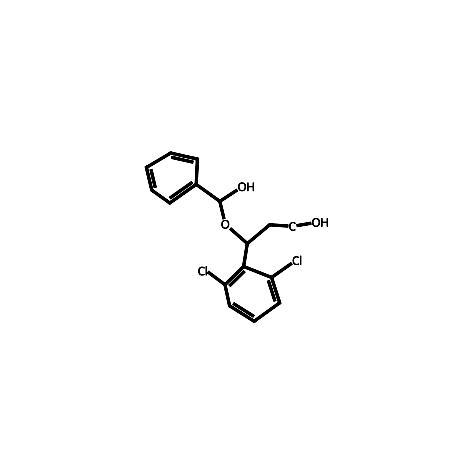 OCCC(OC(O)c1ccccc1)c1c(Cl)cccc1Cl